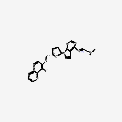 CCc1c(OC[C@@H]2CCC(n3ccc4c(/N=C/N(C)C)ncnc43)O2)ccc2cccnc12